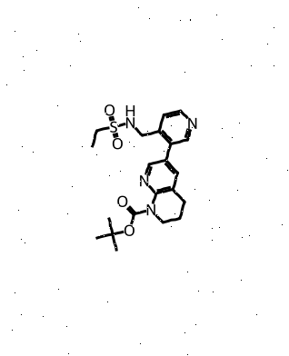 CCS(=O)(=O)NCc1ccncc1-c1cnc2c(c1)CCCN2C(=O)OC(C)(C)C